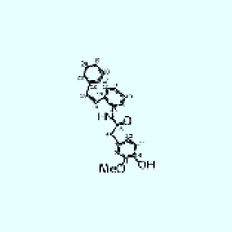 COc1cc(CC(=O)Nc2ccccc2/C=C\c2ccccc2)ccc1O